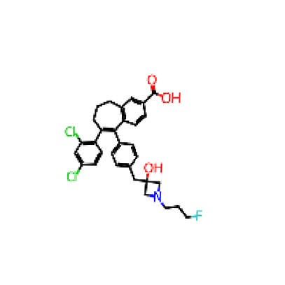 O=C(O)c1ccc2c(c1)CCCC(c1ccc(Cl)cc1Cl)=C2c1ccc(CC2(O)CN(CCCF)C2)cc1